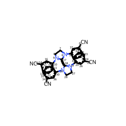 N#Cc1cccc(N2CCN(c3cccc(C#N)c3)C2=C2N(c3cccc(C#N)c3)CCN2c2cccc(C#N)c2)c1